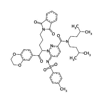 Cc1ccc(S(=O)(=O)/N=c2\ccc(C(=O)N(CCC(C)C)CCC(C)C)nn2C(CCCN2C(=O)c3ccccc3C2=O)C(=O)c2ccc3c(c2)OCCO3)cc1